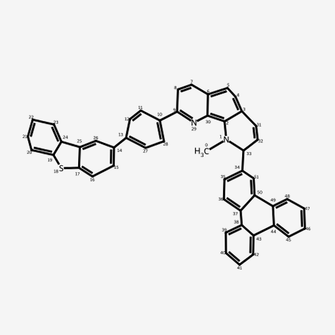 CN1c2c(ccc3ccc(-c4ccc(-c5ccc6sc7ccccc7c6c5)cc4)nc23)C=CC1c1ccc2c3ccccc3c3ccccc3c2c1